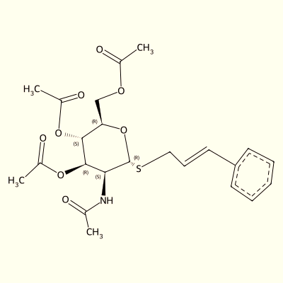 CC(=O)N[C@H]1[C@@H](OC(C)=O)[C@H](OC(C)=O)[C@@H](COC(C)=O)O[C@@H]1SCC=Cc1ccccc1